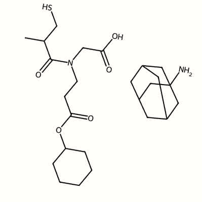 CC(CS)C(=O)N(CCC(=O)OC1CCCCC1)CC(=O)O.NC12CC3CC(CC(C3)C1)C2